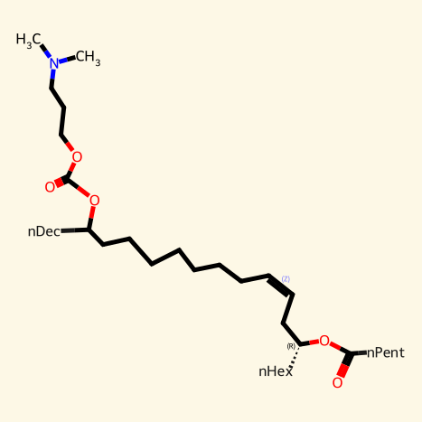 CCCCCCCCCCC(CCCCCCC/C=C\C[C@@H](CCCCCC)OC(=O)CCCCC)OC(=O)OCCCN(C)C